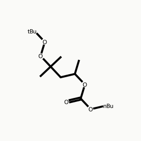 CCCCOC(=O)OC(C)CC(C)(C)OOC(C)(C)C